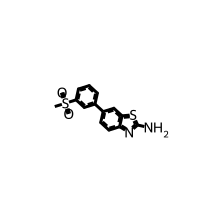 CS(=O)(=O)c1cccc(-c2ccc3nc(N)sc3c2)c1